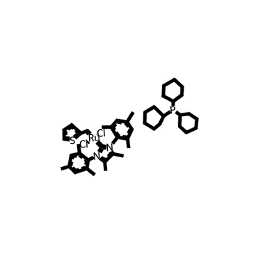 C1CCC(P(C2CCCCC2)C2CCCCC2)CC1.Cc1cc(C)c(-n2c(C)c(C)n(-c3c(C)cc(C)cc3C)[c]2=[Ru]([Cl])([Cl])=[CH]c2cccs2)c(C)c1